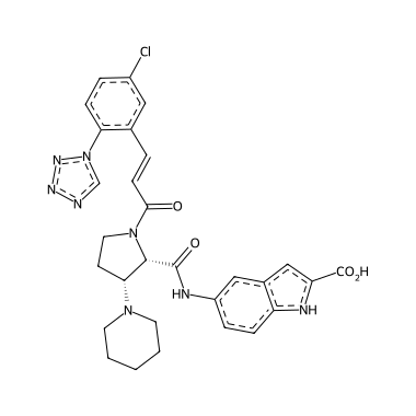 O=C(O)c1cc2cc(NC(=O)[C@@H]3[C@H](N4CCCCC4)CCN3C(=O)/C=C/c3cc(Cl)ccc3-n3cnnn3)ccc2[nH]1